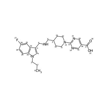 CCCn1cc(CNCC2CCN(c3ncc(C(=O)O)cn3)CC2)c2cc(F)ccc21